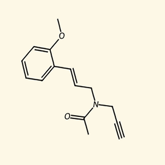 C#CCN(C/C=C/c1ccccc1OC)C(C)=O